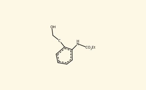 CCOC(=O)Nc1ccccc1CCO